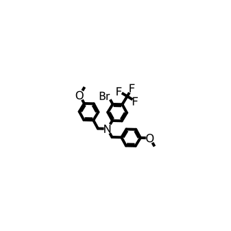 COc1ccc(CN(Cc2ccc(OC)cc2)c2ccc(C(F)(F)F)c(Br)c2)cc1